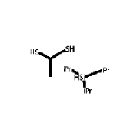 CC(C)[SiH](C(C)C)C(C)C.CC(S)S